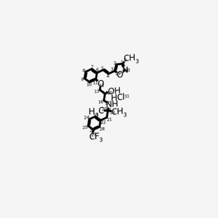 Cc1cc(C=Cc2ccccc2OCC(O)CNC(C)(C)Cc2cccc(C(F)(F)F)c2)on1.Cl